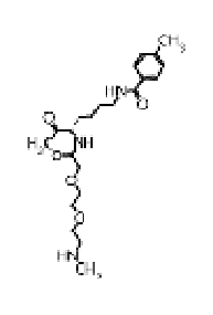 CNCCOCCOCC(=O)N[C@@H](CCCCNC(=O)c1ccc(C)cc1)C(C)=O